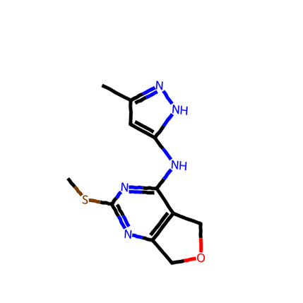 CSc1nc2c(c(Nc3cc(C)n[nH]3)n1)COC2